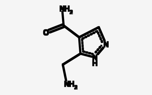 NCc1[nH]ncc1C(N)=O